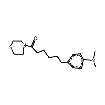 CN(C)c1ccc(CCCCCC(=O)N2CCSCC2)cc1